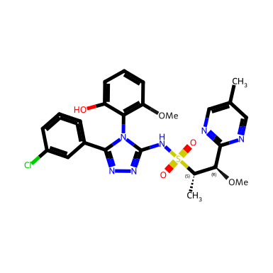 COc1cccc(O)c1-n1c(NS(=O)(=O)[C@@H](C)[C@H](OC)c2ncc(C)cn2)nnc1C1=C=C=CC(Cl)=C1